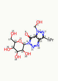 CCCc1nn(CO)c2c(=O)n(C3OC(CO)C(O)C(O)C3O)nnc12